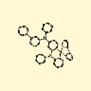 c1ccc(-c2cccc(N(c3ccccc3)c3ccc4c(c3)N(c3ccccc3)c3ccccc3C43c4ccccc4-c4ccccc43)c2)cc1